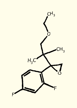 CCOCC(C)(C)C1(c2ccc(F)cc2F)CO1